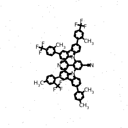 Cc1ccc(-c2ccc3c(c2)c2cc(-c4ccc(C)cc4C(F)(F)F)ccc2n3-c2cc(C#N)cc(-n3c4ccc(-c5ccc(C(F)(F)F)cc5C)cc4c4cc(-c5ccc(C(F)(F)F)cc5C)ccc43)c2-c2ccncc2)c(C)c1